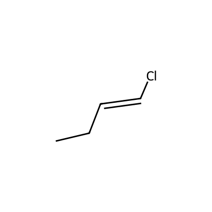 CC/C=C/Cl